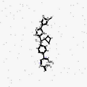 C=C(N)/N=C\C(=C/N)c1ccc([C@@](C)(c2noc(-c3cnn(C)c3)n2)C2CCC2)cc1